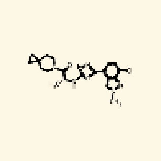 C[C@@H](Nc1nnc(-c2ccc(Cl)c3nn(C)cc23)o1)C(=O)N1CCC2(CC1)CC2